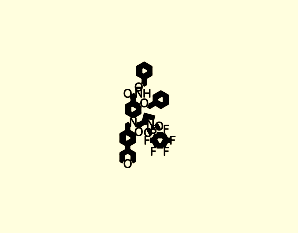 O=C(NOCc1ccccc1)c1ccc(N(Cc2ccc(C3CCOCC3)cc2)C(=O)C2CCN2S(=O)(=O)c2c(F)c(F)c(F)c(F)c2F)cc1OCc1ccccc1